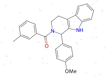 COc1ccc(C2c3[nH]c4ccccc4c3CCN2C(=O)c2cccc(C)c2)cc1